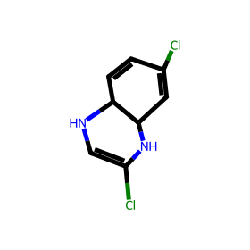 ClC1=CC2NC(Cl)=CNC2C=C1